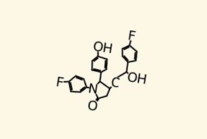 O=C1CC(CCC(O)c2ccc(F)cc2)C(c2ccc(O)cc2)N1c1ccc(F)cc1